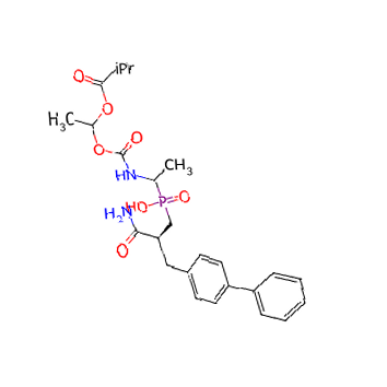 CC(OC(=O)NC(C)P(=O)(O)C[C@@H](Cc1ccc(-c2ccccc2)cc1)C(N)=O)OC(=O)C(C)C